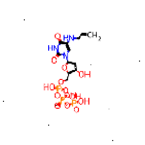 C=CCNc1cn([C@H]2C[C@H](O)[C@@H](COP(=O)(O)OP(=O)(O)OP(=O)(O)O)O2)c(=O)[nH]c1=O